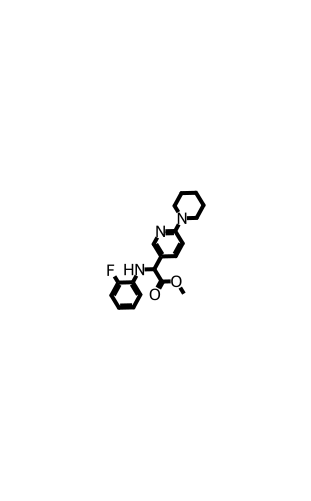 COC(=O)C(Nc1ccccc1F)c1ccc(N2CCCCC2)nc1